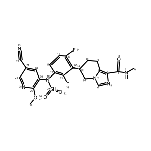 CNC(=O)c1ncn2c1CC[C@H](c1c(F)ccc(N(c3cc(C#N)cnc3OC)[SH](=O)=O)c1F)C2